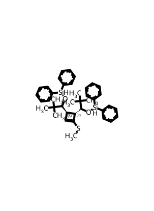 CSC1=C[C@@H](C(O[SiH](c2ccccc2)c2ccccc2)C(C)(C)C)[C@@H]1C(O[SiH](c1ccccc1)c1ccccc1)C(C)(C)C